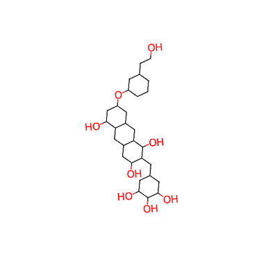 OCCC1CCCC(OC2CC(O)C3CC4CC(O)C(CC5CC(O)C(O)C(O)C5)C(O)C4CC3C2)C1